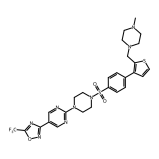 CN1CCN(Cc2sccc2-c2ccc(S(=O)(=O)N3CCN(c4ncc(-c5noc(C(F)(F)F)n5)cn4)CC3)cc2)CC1